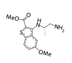 COC(=O)c1sc2ccc(OC)cc2c1N[C@@H](C)CN